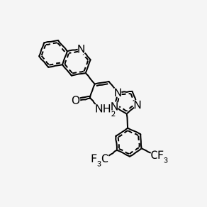 NC(=O)/C(=C\n1cnc(-c2cc(C(F)(F)F)cc(C(F)(F)F)c2)n1)c1cnc2ccccc2c1